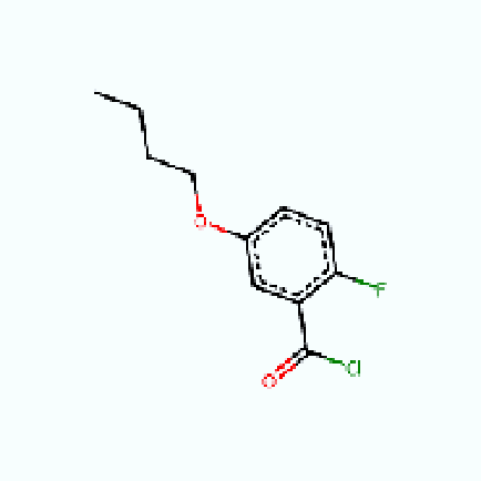 CCCCOc1ccc(F)c(C(=O)Cl)c1